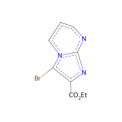 CCOC(=O)c1nc2ncccn2c1Br